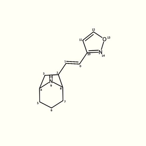 C(=CC1CC2CCCC1N2)c1ccon1